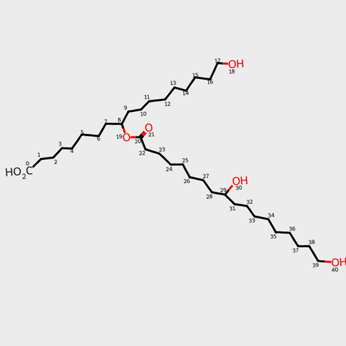 O=C(O)CCCCCCCC(CCCCCCCCCO)OC(=O)CCCCCCCC(O)CCCCCCCCCO